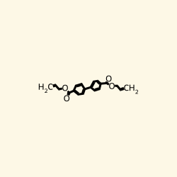 C=CCOC(=O)c1ccc(-c2ccc(C(=O)OCC=C)cc2)cc1